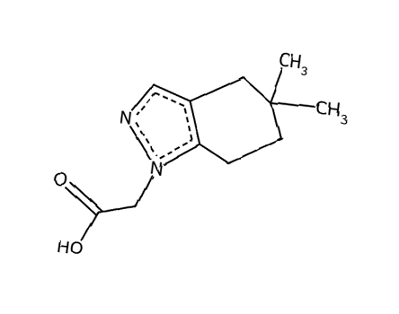 CC1(C)CCc2c(cnn2CC(=O)O)C1